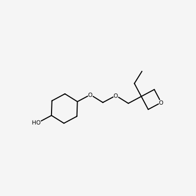 CCC1(COCOC2CCC(O)CC2)COC1